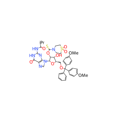 COc1ccc(C(OC[C@H]2O[C@@H](n3cnc4c(=O)[nH]c(NC(=O)C(C)C)nc43)C(OC(=S)N3CCS(=O)(=O)CC3)C2O)(c2ccccc2)c2ccc(OC)cc2)cc1